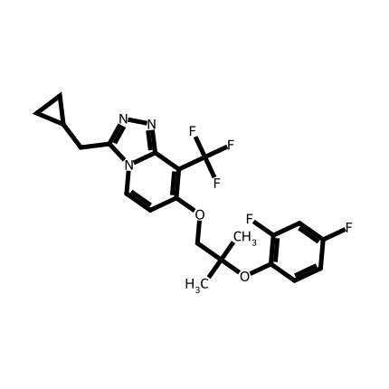 CC(C)(COc1ccn2c(CC3CC3)nnc2c1C(F)(F)F)Oc1ccc(F)cc1F